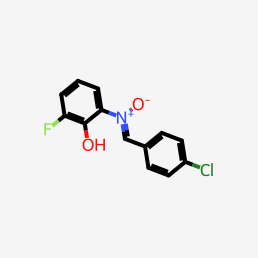 [O-][N+](=Cc1ccc(Cl)cc1)c1cccc(F)c1O